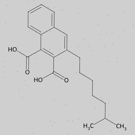 CC(C)CCCCCc1cc2ccccc2c(C(=O)O)c1C(=O)O